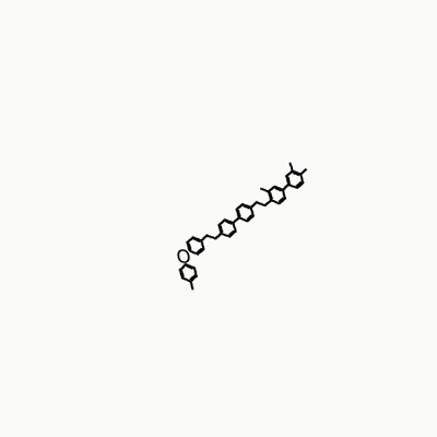 Cc1ccc(Oc2ccc(CCc3ccc(-c4ccc(CCc5ccc(-c6ccc(C)c(C)c6)cc5C)cc4)cc3)cc2)cc1